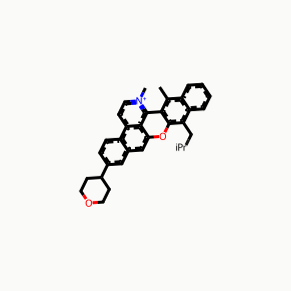 Cc1c2c(c(CC(C)C)c3ccccc13)Oc1cc3cc(C4CCOCC4)ccc3c3cc[n+](C)c-2c13